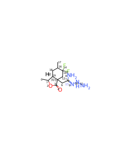 CC1OC(=O)C2(C/C(N)=N/NN)CC(F)(F)C(C)C[C@H]12